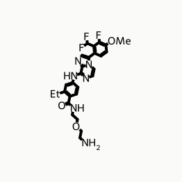 CCc1cc(Nc2nccn3c(-c4ccc(OC)c(F)c4C(F)F)cnc23)ccc1C(=O)NCCOCCN